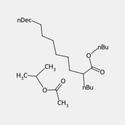 CC(=O)OC(C)C.CCCCCCCCCCCCCCCCC(CCCC)C(=O)OCCCC